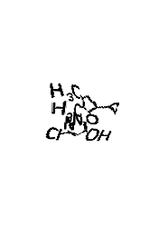 Cc1ccc(C2CC2)c(Oc2nnc(Cl)cc2O)c1C